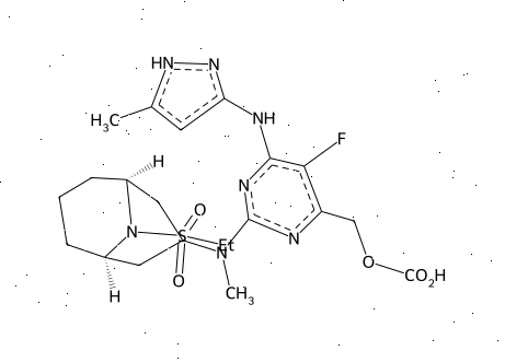 CCS(=O)(=O)N1[C@@H]2CCC[C@H]1CC(N(C)c1nc(COC(=O)O)c(F)c(Nc3cc(C)[nH]n3)n1)C2